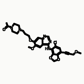 COCC#Cc1cc(Cl)c(Nc2ncnc3cc(OCCCN4CCN(C(C)=O)CC4)c(OC)cc23)c2c1OCO2